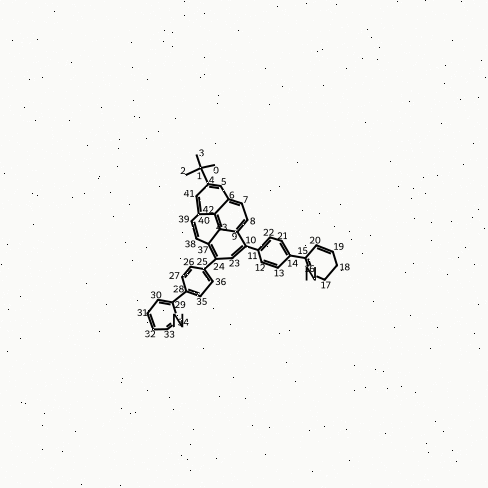 CC(C)(C)c1cc2ccc3c(-c4ccc(C5=NCCC=C5)cc4)cc(-c4ccc(-c5ccccn5)cc4)c4ccc(c1)c2c34